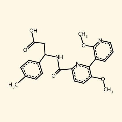 COc1ccc(C(=O)NC(CC(=O)O)c2ccc(C)cc2)nc1-c1cccnc1OC